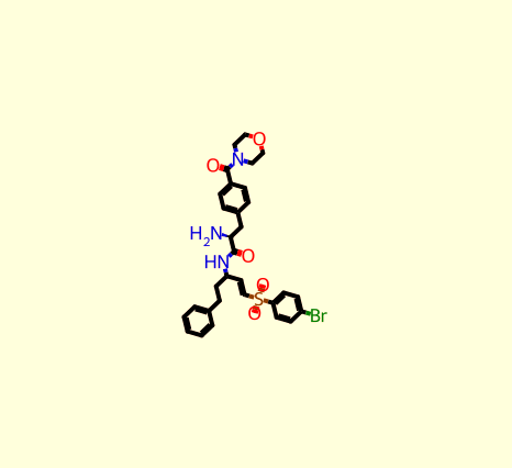 N[C@@H](Cc1ccc(C(=O)N2CCOCC2)cc1)C(=O)NC(C=CS(=O)(=O)c1ccc(Br)cc1)CCc1ccccc1